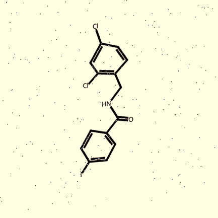 O=C(NCc1ccc(Cl)cc1Cl)c1ccc(I)cc1